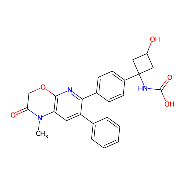 CN1C(=O)COc2nc(-c3ccc(C4(NC(=O)O)CC(O)C4)cc3)c(-c3ccccc3)cc21